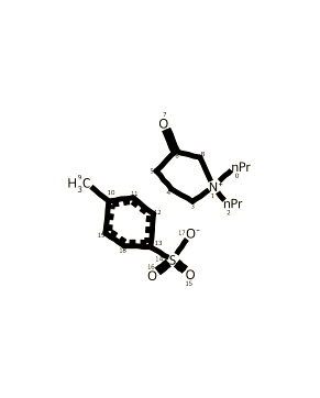 CCC[N+]1(CCC)CCCC(=O)C1.Cc1ccc(S(=O)(=O)[O-])cc1